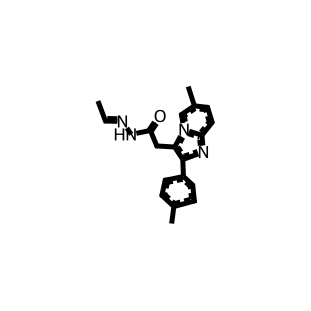 C/C=N/NC(=O)Cc1c(-c2ccc(C)cc2)nc2ccc(C)cn12